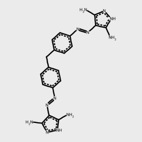 Nc1n[nH]c(N)c1N=Nc1ccc(Cc2ccc(N=Nc3c(N)n[nH]c3N)cc2)cc1